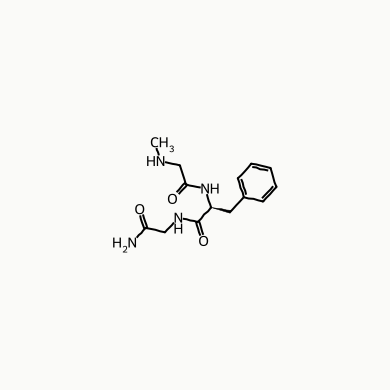 CNCC(=O)N[C@@H](Cc1ccccc1)C(=O)NCC(N)=O